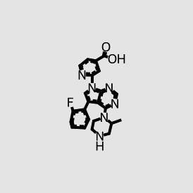 CC1CNCCN1c1ncnc2c1c(-c1ccccc1F)cn2-c1cc(C(=O)O)ccn1